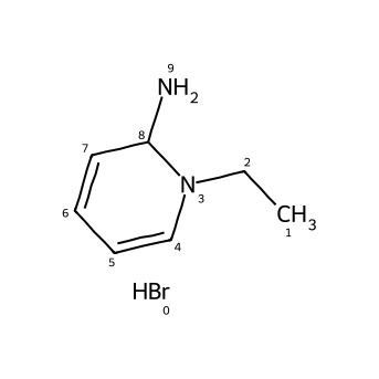 Br.CCN1C=CC=CC1N